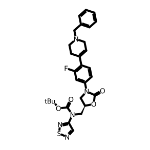 CC(C)(C)OC(=O)N(C[C@H]1CN(c2ccc(C3=CCN(Cc4ccccc4)CC3)c(F)c2)C(=O)O1)c1cnsn1